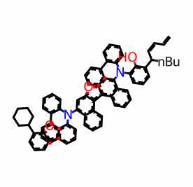 C=C/C=C\C(CCCC)c1cccc(N(c2ccccc2-c2ccccc2)c2cc3oc4cc(N(c5ccccc5-c5ccccc5)c5cccc6c5oc5c(C7CCCCC7)cccc56)c5ccccc5c4c3c3ccccc23)c1O